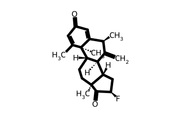 C=C1[C@H](C)C2=CC(=O)C=C(C)[C@]2(C)[C@H]2CC[C@]3(C)C(=O)[C@H](F)C[C@H]3[C@H]12